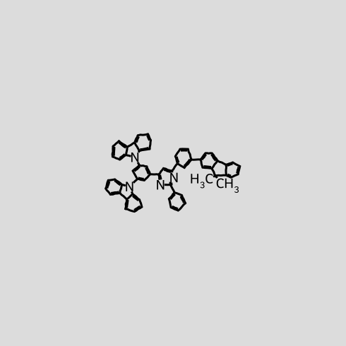 CC1(C)c2ccccc2-c2ccc(-c3cccc(-c4cc(-c5cc(-n6c7ccccc7c7ccccc76)cc(-n6c7ccccc7c7ccccc76)c5)nc(-c5ccccc5)n4)c3)cc21